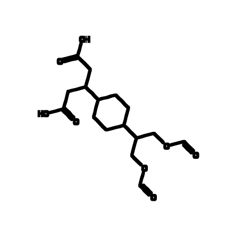 O=COCC(COC=O)C1CCC(C(CC(=O)O)CC(=O)O)CC1